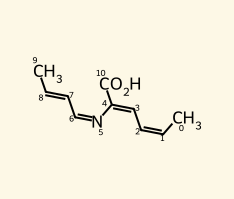 C\C=C/C=C(\N=C/C=C/C)C(=O)O